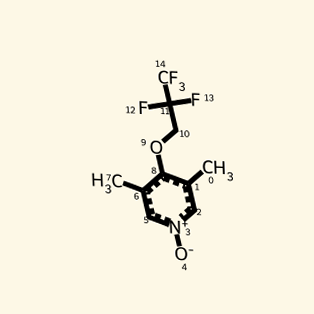 Cc1c[n+]([O-])cc(C)c1OCC(F)(F)C(F)(F)F